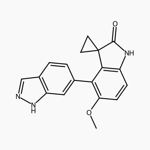 COc1ccc2c(c1-c1ccc3cn[nH]c3c1)C1(CC1)C(=O)N2